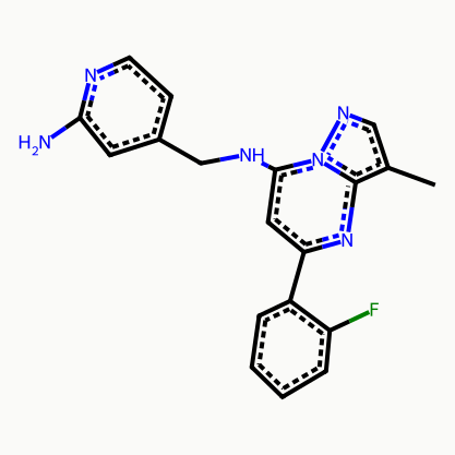 Cc1cnn2c(NCc3ccnc(N)c3)cc(-c3ccccc3F)nc12